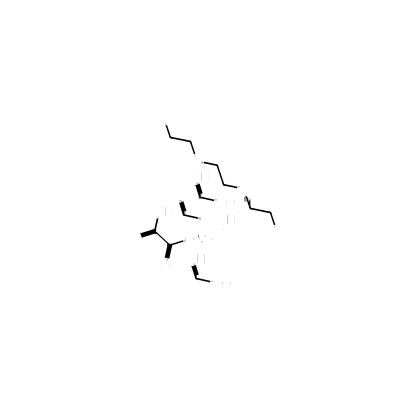 C=C(C)C(=O)OC.C=CC(=O)O.C=CC(=O)O.C=CC(=O)O.OCCOCCOCCO